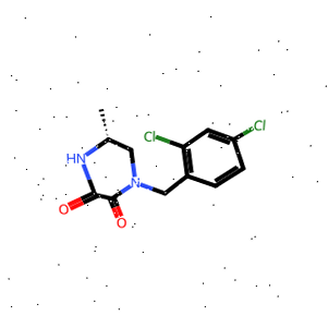 C[C@@H]1CN(Cc2ccc(Cl)cc2Cl)C(=O)C(=O)N1